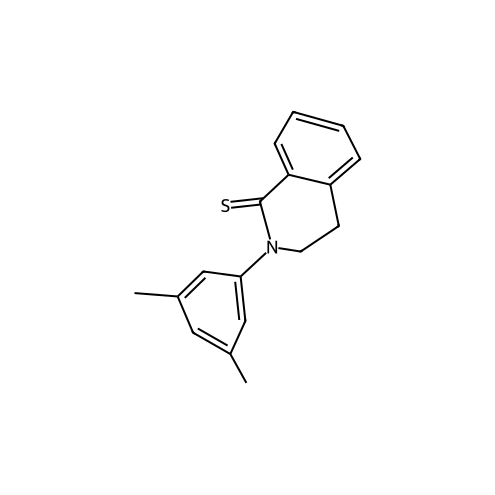 Cc1cc(C)cc(N2CCc3ccccc3C2=S)c1